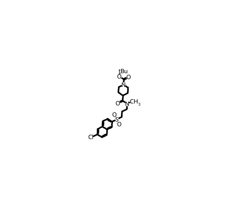 CN(CCCS(=O)(=O)c1ccc2cc(Cl)ccc2c1)C(=O)C1CCN(C(=O)OC(C)(C)C)CC1